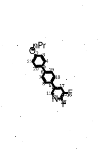 CCCOc1ccc(-c2ccc(-c3cnc(F)c(F)c3)cc2)cc1